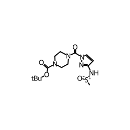 C[S+]([O-])Nc1ccn(C(=O)N2CCN(C(=O)OC(C)(C)C)CC2)n1